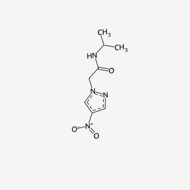 CC(C)NC(=O)Cn1cc([N+](=O)[O-])cn1